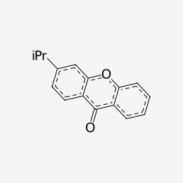 CC(C)c1ccc2c(=O)c3ccccc3oc2c1